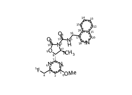 COc1cc(CF)nc([C@@H]2OC(=O)N(C(=O)NCc3cncc4ccccc34)[C@H]2C)n1